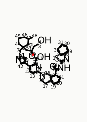 CC(CCO)CC1(Cn2cc(-c3ccc(N4CCc5cccc(C(=O)Nc6nc7ccccc7s6)c5C4)nc3C(=O)O)cn2)CCCC(C)C1